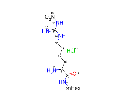 CCCCCCNC(=O)[C@@H](N)CCCCNC(=N)N[N+](=O)[O-].Cl